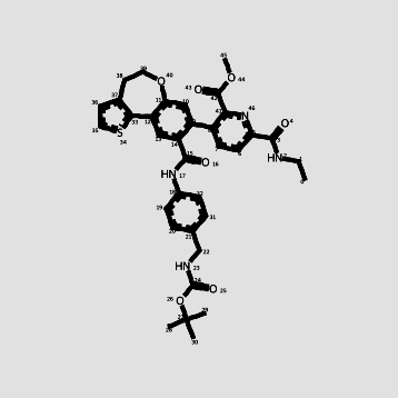 CCNC(=O)c1ccc(-c2cc3c(cc2C(=O)Nc2ccc(CNC(=O)OC(C)(C)C)cc2)-c2sccc2CCO3)c(C(=O)OC)n1